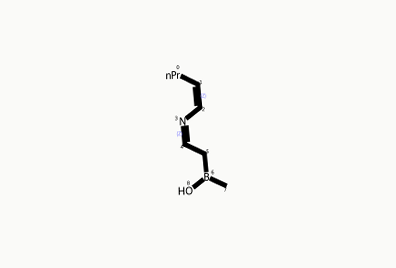 CCC/C=C\N=C/CB(C)O